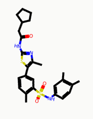 Cc1ccc(NS(=O)(=O)c2cc(-c3sc(NC(=O)CC4CCCC4)nc3C)ccc2C)cc1C